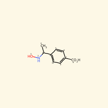 CC(NO)c1ccc(C(=O)O)cc1